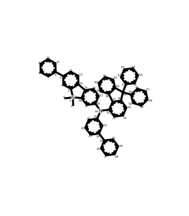 C[Si]1(C)c2cc(-c3ccccc3)ccc2-c2ccc(N(c3cccc(-c4ccccc4)c3)c3cccc4c3-c3ccccc3C4(c3ccccc3)c3ccccc3)cc21